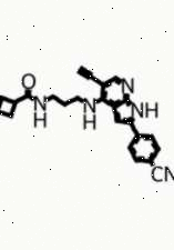 C#Cc1cnc2[nH]c(-c3ccc(C#N)cc3)cc2c1NCCCNC(=O)C1CCC1